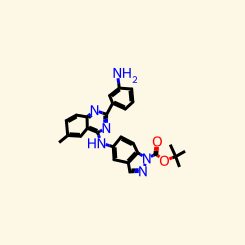 Cc1ccc2nc(-c3cccc(N)c3)nc(Nc3ccc4c(cnn4C(=O)OC(C)(C)C)c3)c2c1